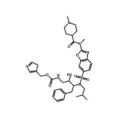 CC(C)CN(C(Cc1ccccc1)C(O)CNC(=O)OCc1cncs1)S(=O)(=O)c1ccc2nc(N(C)C(=O)C3CCN(C)CC3)oc2c1